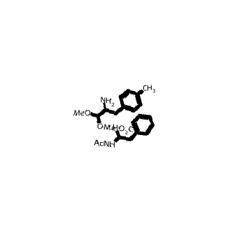 CC(=O)NC(Cc1ccccc1)C(=O)O.COC(OC)[C@@H](N)Cc1ccc(C)cc1